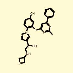 Cc1nc(Oc2cc(C#N)ccc2-n2cc([C@@H](O)CNC3COC3)cn2)cc(-c2ccccc2)n1